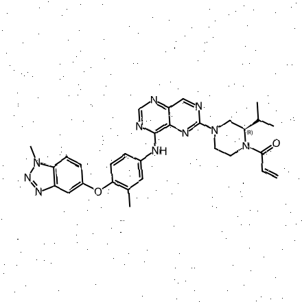 C=CC(=O)N1CCN(c2ncc3ncnc(Nc4ccc(Oc5ccc6c(c5)nnn6C)c(C)c4)c3n2)C[C@H]1C(C)C